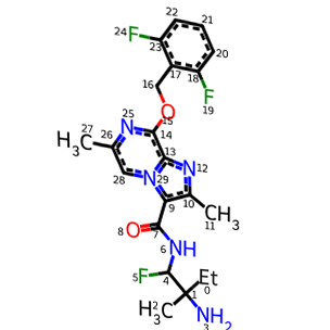 CCC(C)(N)C(F)NC(=O)c1c(C)nc2c(OCc3c(F)cccc3F)nc(C)cn12